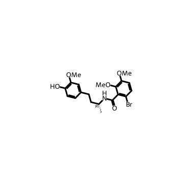 COc1cc(CC[C@@H](C)NC(=O)c2c(Br)ccc(OC)c2OC)ccc1O